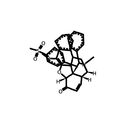 COC1=C2O[C@H]3C(=O)C=C[C@H]4[C@H]5CC(c6ccccc61)C2[C@@]34C(c1ccc(S(C)(=O)=O)cc1)C(c1ccccc1)N5C